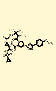 COc1ccc(-c2nnn([C@@H]3C[C@@H](C(=O)N[C@]4(C(=O)NS(=O)(=O)C5CC5)C[C@H]4C(F)F)N(C(=O)[C@@H](N)C(C)(C)C)C3)n2)cc1